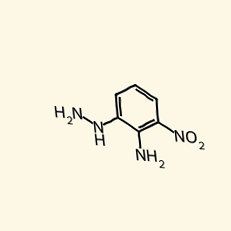 NNc1cccc([N+](=O)[O-])c1N